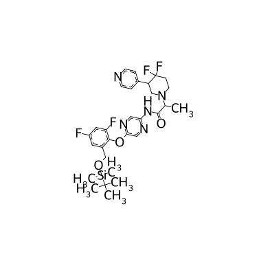 CC(C(=O)Nc1cnc(Oc2c(F)cc(F)cc2CO[Si](C)(C)C(C)(C)C)cn1)N1CCC(F)(F)C(c2ccncc2)C1